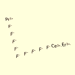 [Ce+3].[Er+3].[F-].[F-].[F-].[F-].[F-].[F-].[F-].[F-].[F-].[Pr+3]